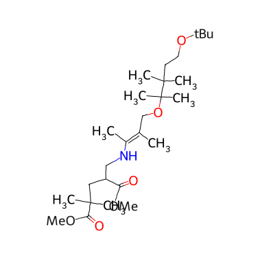 COC(=O)C(CN/C(C)=C(\C)COC(C)(C)C(C)(C)CCOC(C)(C)C)CC(C)(C)C(=O)OC